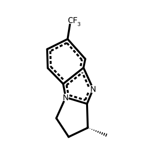 C[C@@H]1CCn2c1nc1cc(C(F)(F)F)ccc12